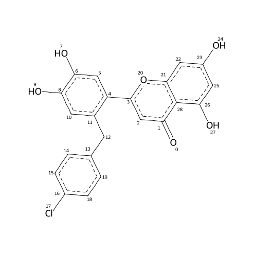 O=c1cc(-c2cc(O)c(O)cc2Cc2ccc(Cl)cc2)oc2cc(O)cc(O)c12